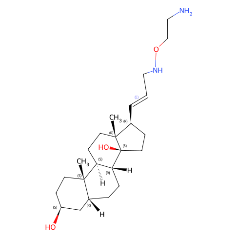 C[C@]12CC[C@H](O)C[C@H]1CC[C@@H]1[C@@H]2CC[C@]2(C)[C@@H](/C=C/CNOCCN)CC[C@]12O